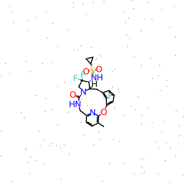 Cc1ccc2nc1Oc1cccc(c1F)C[C@H]1[C@@H](NS(=O)(=O)C3CC3)C(F)(F)CN1C(=O)NC2